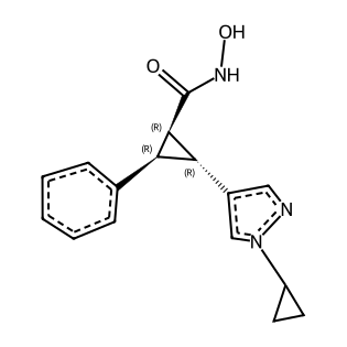 O=C(NO)[C@@H]1[C@H](c2ccccc2)[C@H]1c1cnn(C2CC2)c1